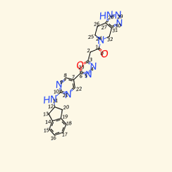 O=C(Cc1nnc(-c2cnc(NC3Cc4ccccc4C3)nc2)o1)N1CCc2[nH]nnc2C1